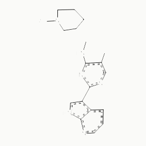 CC(=O)N1CCC[C@H](CNc2nc(-c3c[nH]c4ncccc34)ncc2F)C1